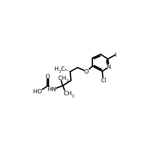 C[C@H](COc1ccc(I)nc1Cl)CC(C)(C)NC(=O)O